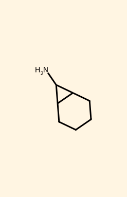 NC1C2CCCCC12